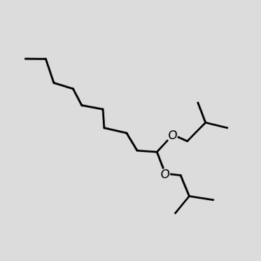 CCCCCCCCCC(OCC(C)C)OCC(C)C